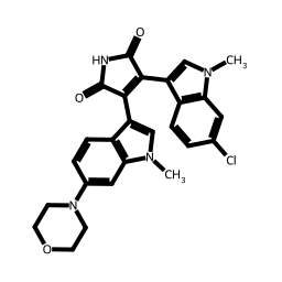 Cn1cc(C2=C(c3cn(C)c4cc(N5CCOCC5)ccc34)C(=O)NC2=O)c2ccc(Cl)cc21